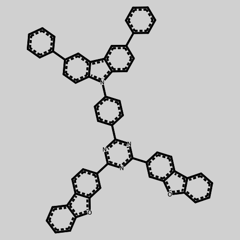 c1ccc(-c2ccc3c(c2)c2cc(-c4ccccc4)ccc2n3-c2ccc(-c3nc(-c4ccc5c(c4)oc4ccccc45)nc(-c4ccc5c(c4)oc4ccccc45)n3)cc2)cc1